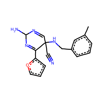 Cc1cccc(CNC2(C#N)C=NC(N)N=C2c2ccco2)c1